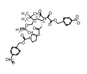 C[SiH](C)OC[C@H]([C@@H]1C(=O)N(C(=O)C(=O)OCc2ccc([N+](=O)[O-])cc2)[C@@H]1CC(=O)S[C@H]1CCN(C(=O)OCc2ccc([N+](=O)[O-])cc2)C1)C(C)(C)C